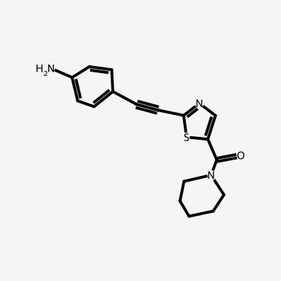 Nc1ccc(C#Cc2ncc(C(=O)N3CCCCC3)s2)cc1